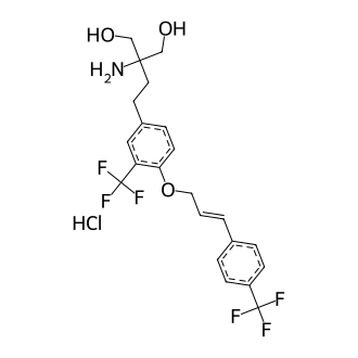 Cl.NC(CO)(CO)CCc1ccc(OCC=Cc2ccc(C(F)(F)F)cc2)c(C(F)(F)F)c1